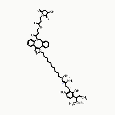 C=CC(c1ccc(O)c(OC/C(N)=C/N(N)CCCCCCCCCCn2nnc3c2-c2ccccc2CN(C(=O)CCNC(=O)CCN2C(=O)CC(S)C2=O)c2ccccc2-3)c1O)[C@H](C)[C@@H](C)CC